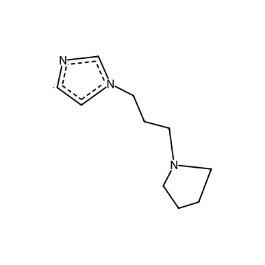 [c]1cn(CCCN2CCCC2)cn1